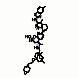 C/C(NCC1CC2(C)CC3(C)CC1CC(OCCN1CCOCC1)(C2)C3)=C(/C=N)c1ccc(N2CCCc3c2nnc(Nc2nc4cc(C)ccc4s2)c3C)nc1C(=O)O